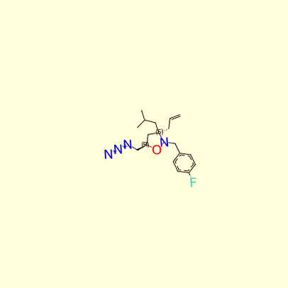 C=CC[C@@]1(CC(C)C)C[C@H](CN=[N+]=[N-])ON1Cc1ccc(F)cc1